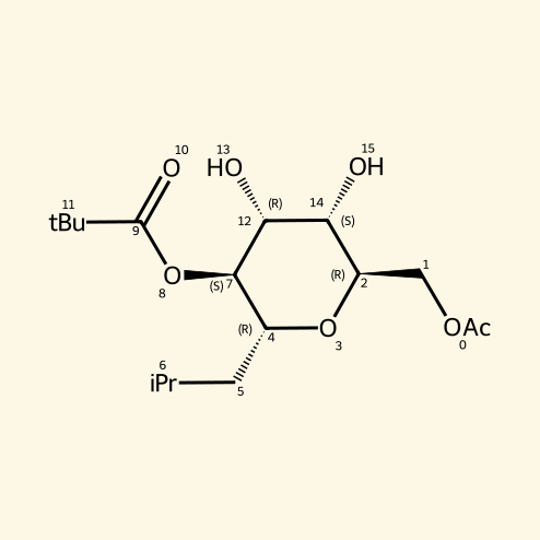 CC(=O)OC[C@H]1O[C@H](CC(C)C)[C@@H](OC(=O)C(C)(C)C)[C@H](O)[C@@H]1O